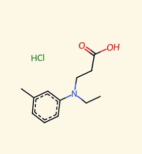 CCN(CCC(=O)O)c1cccc(C)c1.Cl